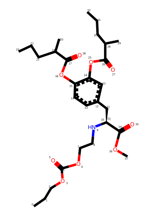 CCCOC(=O)OCCN[C@@H](Cc1ccc(OC(=O)C(C)CCC)c(OC(=O)C(C)CCC)c1)C(=O)OC